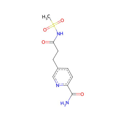 CS(=O)(=O)NC(=O)CCc1ccc(C(N)=O)nc1